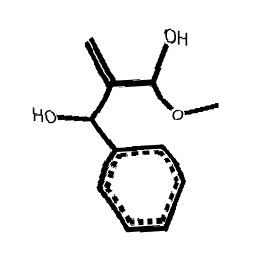 C=C(C(O)OC)C(O)c1ccccc1